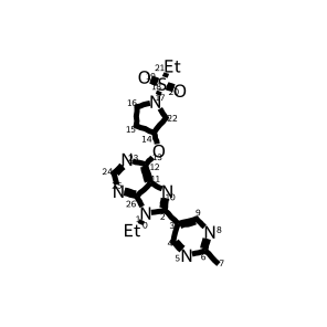 CCn1c(-c2cnc(C)nc2)nc2c(OC3CCN(S(=O)(=O)CC)C3)ncnc21